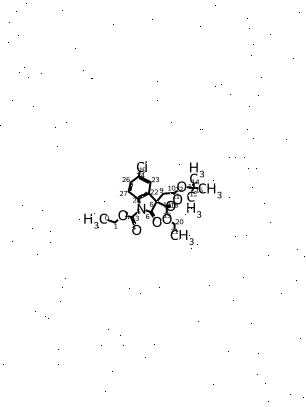 CCOC(=O)N1C(=O)C(CC(=O)OC(C)(C)C)(C(=O)OCC)c2cc(Cl)ccc21